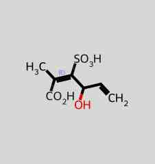 C=CC(O)/C(=C(/C)C(=O)O)S(=O)(=O)O